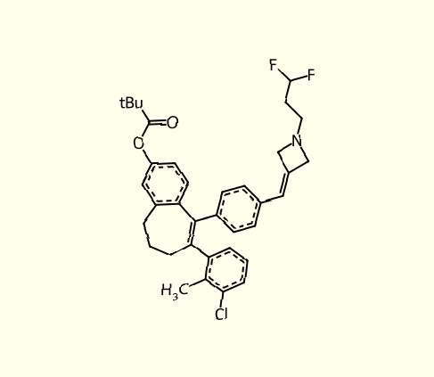 Cc1c(Cl)cccc1C1=C(c2ccc(C=C3CN(CCC(F)F)C3)cc2)c2ccc(OC(=O)C(C)(C)C)cc2CCC1